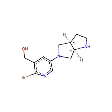 OCc1cc(N2C[C@H]3CCN[C@H]3C2)cnc1Br